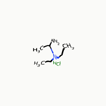 CCN(CC)[CH](C)[AlH2].Cl